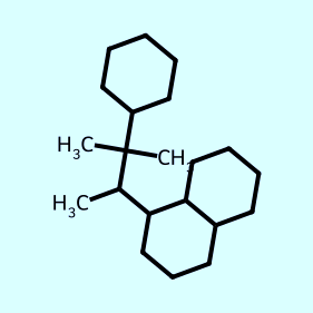 CC(C1CCCC2CCCCC21)C(C)(C)C1CCCCC1